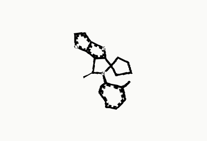 Cc1ccccc1N1[C@@H](C)c2c(sc3ccoc23)C12CCCC2